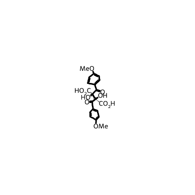 COc1ccc(C(=O)[C@@](O)(C(=O)O)[C@](O)(C(=O)O)C(=O)c2ccc(OC)cc2)cc1